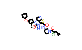 Cc1cc(Oc2ccccc2)ccc1N1C(=O)Nc2c(C(=O)N[C@@H]3CCCN(C(=O)C(Cl)=CC4CC4)C3)sc3nccc1c23